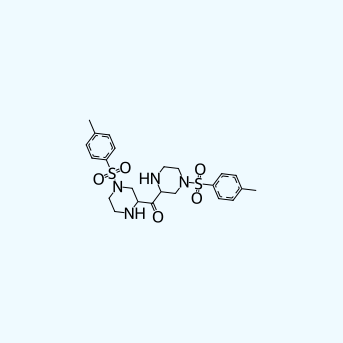 Cc1ccc(S(=O)(=O)N2CCNC(C(=O)C3CN(S(=O)(=O)c4ccc(C)cc4)CCN3)C2)cc1